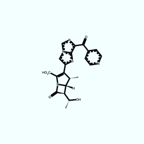 C[C@@H](O)[C@H]1C(=O)N2C(C(=O)O)=C(c3cn4cnc(C(=O)c5ccncc5)c4s3)[C@H](C)[C@H]12